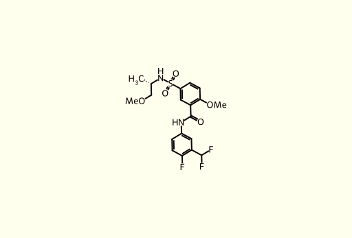 COC[C@H](C)NS(=O)(=O)c1ccc(OC)c(C(=O)Nc2ccc(F)c(C(F)F)c2)c1